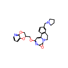 C1=C2c3ccc(CN4CCCC4)cc3CCN2C2OC2N=C1OCC1COc2ncccc2O1